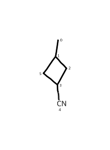 CC1CC(C#N)C1